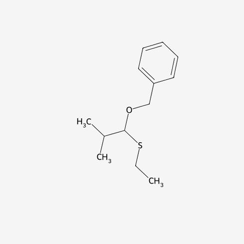 CCSC(OCc1ccccc1)C(C)C